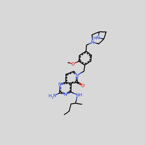 CCCC(C)Nc1nc(N)nc2ccn(Cc3ccc(CN4CC5CC(C4)N5)cc3OC)c(=O)c12